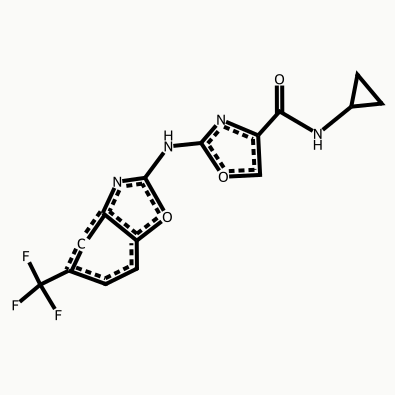 O=C(NC1CC1)c1coc(Nc2nc3cc(C(F)(F)F)ccc3o2)n1